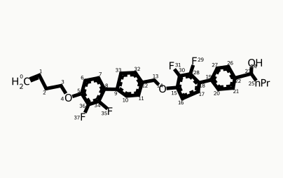 C=CCCOc1ccc(-c2ccc(COc3ccc(-c4ccc(C(O)CCC)cc4)c(F)c3F)cc2)c(F)c1F